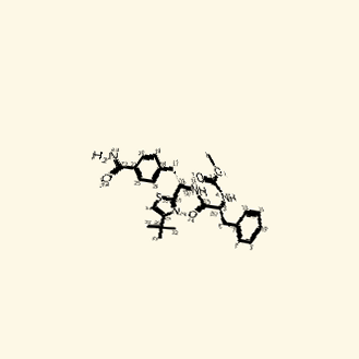 COC(=O)N[C@@H](Cc1ccccc1)C(=O)N[C@@H](Cc1ccc(C(N)=O)cc1)c1nc(C(C)(C)C)cs1